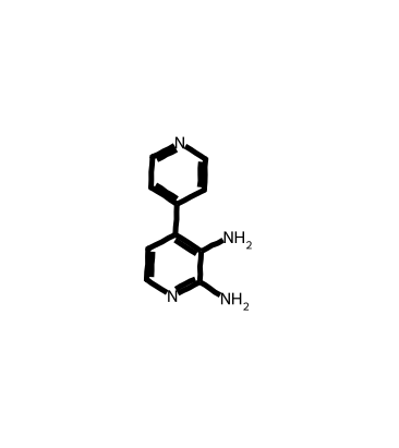 Nc1nccc(-c2ccncc2)c1N